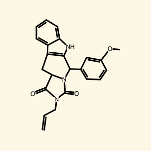 C=CCN1C(=O)C2Cc3c([nH]c4ccccc34)C(c3cccc(OC)c3)N2C1=O